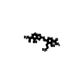 CCCc1c(OCC2Cc3c(ccc(C(C)=O)c3O)O2)ccc(C(C)=O)c1O